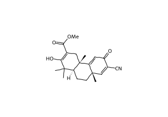 COC(=O)C1=C(O)C(C)(C)[C@@H]2CC[C@@]3(C)C=C(C#N)C(=O)C=C3[C@@]2(C)C1